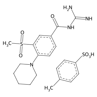 CS(=O)(=O)c1cc(C(=O)NC(=N)N)ccc1N1CCCCC1.Cc1ccc(S(=O)(=O)O)cc1